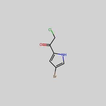 O=C(CCl)c1cc(Br)c[nH]1